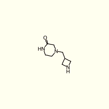 O=C1CN(CC2CNC2)CCN1